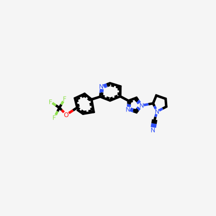 N#CN1CCCC1n1cnc(-c2ccnc(-c3ccc(OC(F)(F)F)cc3)c2)c1